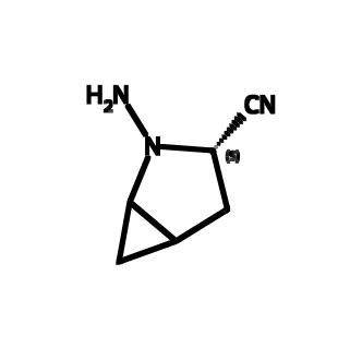 N#C[C@@H]1CC2CC2N1N